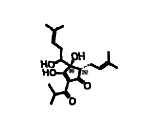 CC(C)=CCC(O)[C@@]1(O)C(O)=C(C(=O)C(C)C)C(=O)[C@H]1CC=C(C)C